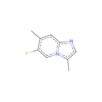 Cc1cc2ncc(C)n2cc1F